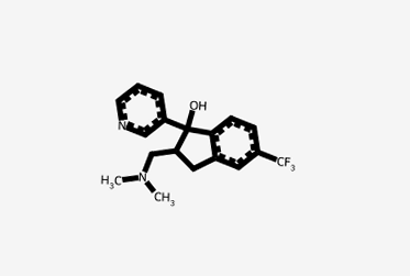 CN(C)CC1Cc2cc(C(F)(F)F)ccc2C1(O)c1cccnc1